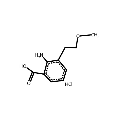 COCCc1cccc(C(=O)O)c1N.Cl